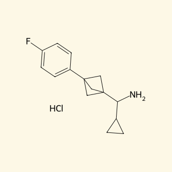 Cl.NC(C1CC1)C12CC(c3ccc(F)cc3)(C1)C2